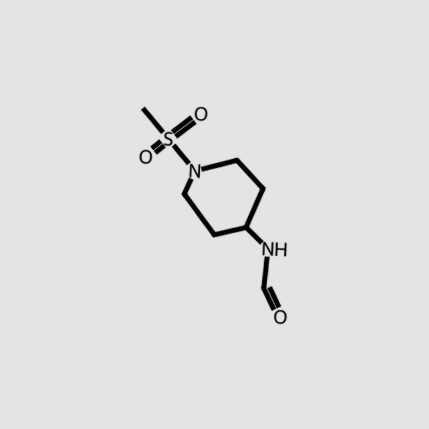 CS(=O)(=O)N1CCC(NC=O)CC1